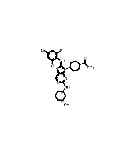 NC(=O)[C@H]1CC[C@@H](n2c(Nc3c(F)cc(Cl)cc3Cl)nc3cnc(N[C@@H]4CCC[C@@H](O)C4)nc32)CC1